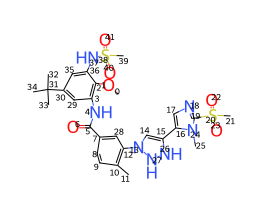 COc1c(NC(=O)c2ccc(C)c(N3C=C(c4cnc(S(C)(=O)=O)n4C)NN3)c2)cc(C(C)(C)C)cc1NS(C)(=O)=O